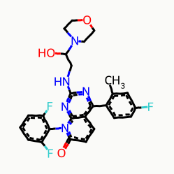 Cc1cc(F)ccc1-c1nc(NCC(O)N2CCOCC2)nc2c1ccc(=O)n2-c1c(F)cccc1F